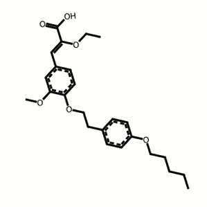 CCCCCOc1ccc(CCOc2ccc(C=C(OCC)C(=O)O)cc2OC)cc1